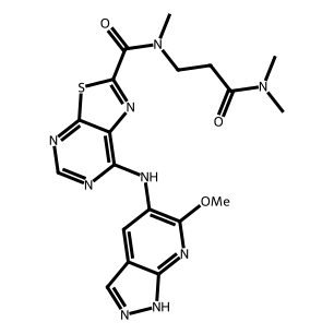 COc1nc2[nH]ncc2cc1Nc1ncnc2sc(C(=O)N(C)CCC(=O)N(C)C)nc12